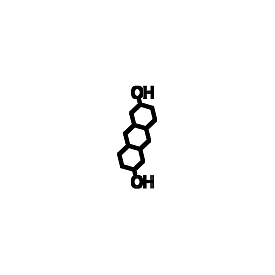 OC1CCC2CC3CC(O)CCC3CC2C1